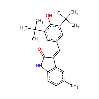 Cc1ccc2c(c1)/C(=C/c1cc(C(C)(C)C)c(O)c(C(C)(C)C)c1)C(=O)N2